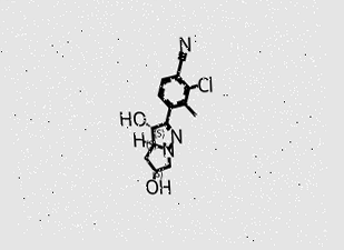 Cc1c(C2=NN3C[C@@H](O)C[C@H]3[C@@H]2O)ccc(C#N)c1Cl